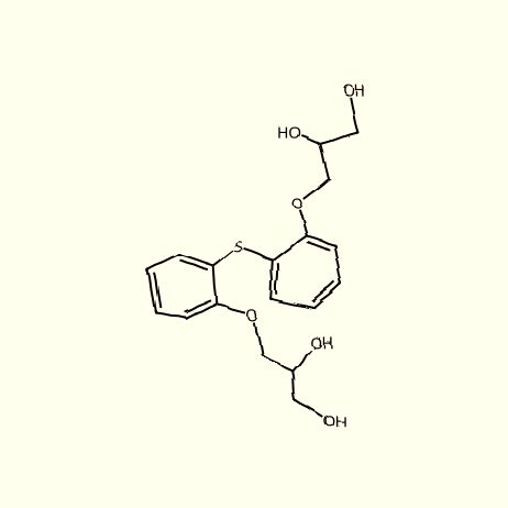 OCC(O)COc1ccccc1Sc1ccccc1OCC(O)CO